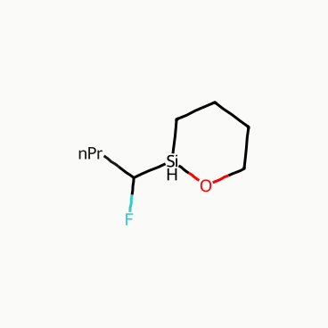 CCCC(F)[SiH]1CCCCO1